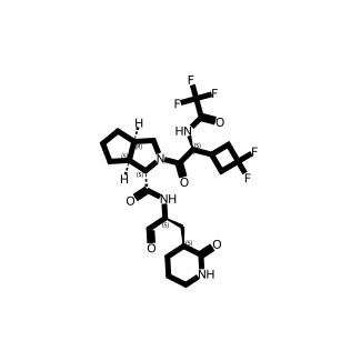 O=C[C@H](C[C@@H]1CCCNC1=O)NC(=O)[C@@H]1[C@H]2CCC[C@H]2CN1C(=O)[C@@H](NC(=O)C(F)(F)F)C1CC(F)(F)C1